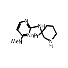 CCCC1(Nc2nccc(NC)n2)CCCNC1